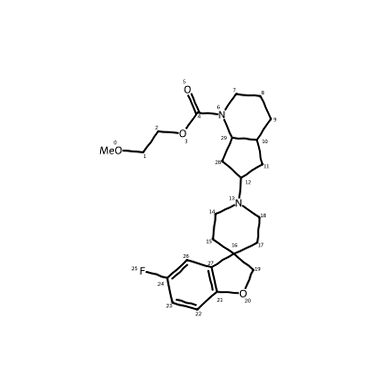 COCCOC(=O)N1CCCC2CC(N3CCC4(CC3)COc3ccc(F)cc34)CC21